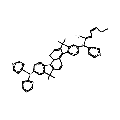 CC1(C)C2=CCC3C(=C2c2ccc(N(/C(N)=C/C=C\CI)c4ccncc4)cc21)C=CC1=C3c2ccc(N(c3ccncc3)c3ccccn3)cc2C1(C)C